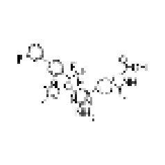 CCC1NC(C(=O)O)CC12CCN(c1cc(O[C@H](c3ccc(-c4cccc(F)c4)cc3-n3ccc(C)n3)C(F)(F)F)nc(N)n1)CC2